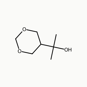 CC(C)(O)C1COCOC1